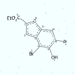 CCOC(=O)c1cc2c(Br)c(O)c(Br)cc2o1